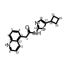 O=C(Cc1cccc2ncccc12)Nc1ncc(C2CCC2)s1